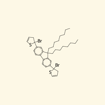 CCCCCCCCC1(CCCCCCCC)c2cc(C3(Br)CC=CS3)ccc2-c2ccc(C3(Br)CC=CS3)cc21